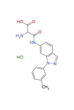 Cc1cccc(-n2ncc3ccc(NC(=O)C(N)C(=O)O)cc32)c1.Cl